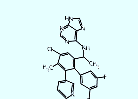 Cc1c(Cl)cc(C(C)Nc2ncnc3[nH]cnc23)c(-c2cc(F)cc(F)c2)c1-c1cccnc1